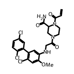 C=CC(=O)N1CCN(C(=O)CNc2cc(-c3cc(Cl)ccc3Cl)c(Cl)cc2OC)CC1C(N)=O